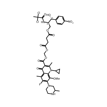 COc1c(N2CCNC(C)C2)c(F)c(C)c2c(=O)c(C(=O)OCOC(=O)CCC(=O)OC[C@@H](NC(=O)C(C)(Cl)Cl)[C@H](O)c3ccc([N+](=O)[O-])cc3)c(C)n(C3CC3)c12